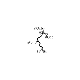 CCCCCCCCO[SiH](OCCCCCCCC)OCCC(CCCCC)CCCN(CC)CC